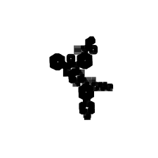 C=CC(=O)Nc1cccc(-n2c(=O)c(-c3ccccc3)nc3cnc(Nc4ccc(N5CCN(C)CC5)cc4OC)nc32)c1